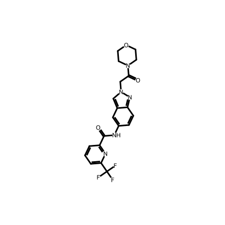 O=C(Nc1ccc2nn(CC(=O)N3CCOCC3)cc2c1)c1cccc(C(F)(F)F)n1